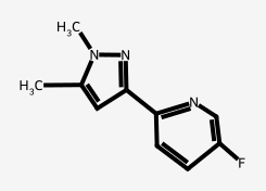 Cc1cc(-c2ccc(F)cn2)nn1C